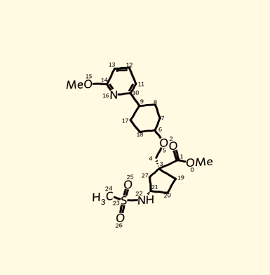 COC(=O)[C@@]1(COC2CCC(c3cccc(OC)n3)CC2)CC[C@H](NS(C)(=O)=O)C1